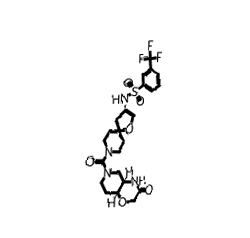 O=C1CO[C@H]2CCN(C(=O)N3CCC4(CC3)C[C@H](NS(=O)(=O)c3cccc(C(F)(F)F)c3)CO4)C[C@H]2N1